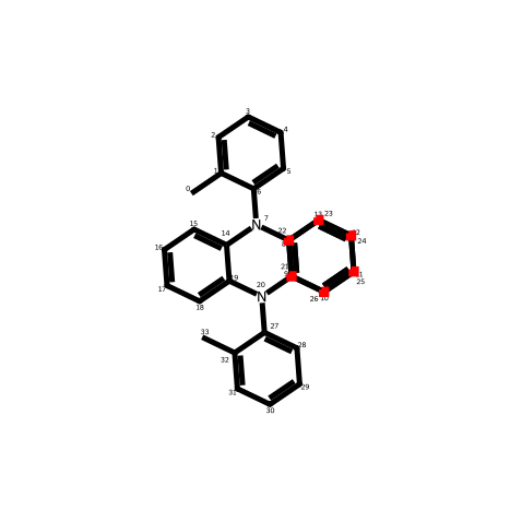 Cc1ccccc1N(c1ccccc1)c1ccccc1N(c1ccccc1)c1ccccc1C